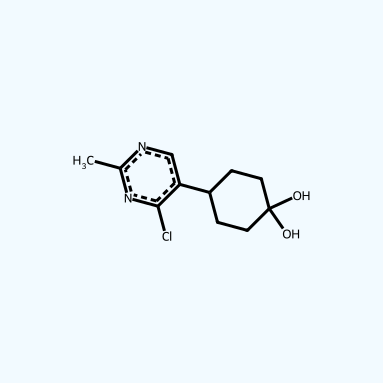 Cc1ncc(C2CCC(O)(O)CC2)c(Cl)n1